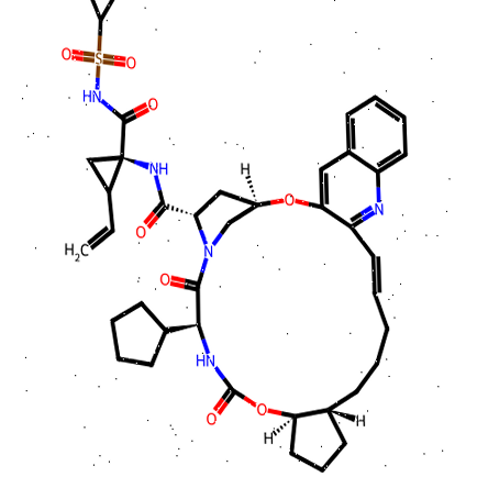 C=CC1C[C@]1(NC(=O)[C@@H]1C[C@@H]2CN1C(=O)[C@H](C1CCCC1)NC(=O)O[C@@H]1CCC[C@H]1CCC/C=C/c1nc3ccccc3cc1O2)C(=O)NS(=O)(=O)C1CC1